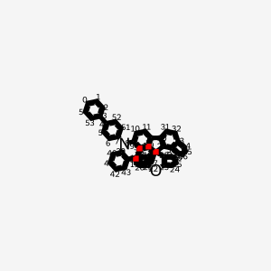 c1ccc(-c2ccc(N(c3ccc4c(c3)C3(c5ccccc5Oc5ccccc53)c3c-4ccc4ccccc34)c3ccccc3-c3ccccc3)cc2)cc1